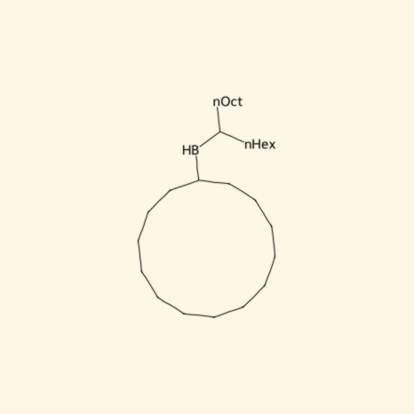 CCCCCCCCC(BC1CCCCCCCCCCCCC1)CCCCCC